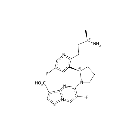 C[C@@H](N)CCc1ncc(F)cc1[C@H]1CCCN1c1nc2c(C(=O)O)cnn2cc1F